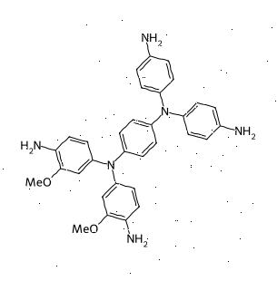 COc1cc(N(c2ccc(N(c3ccc(N)cc3)c3ccc(N)cc3)cc2)c2ccc(N)c(OC)c2)ccc1N